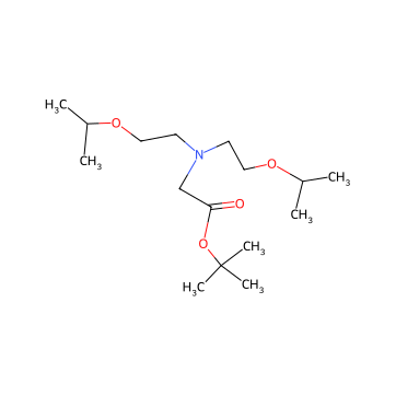 CC(C)OCCN(CCOC(C)C)CC(=O)OC(C)(C)C